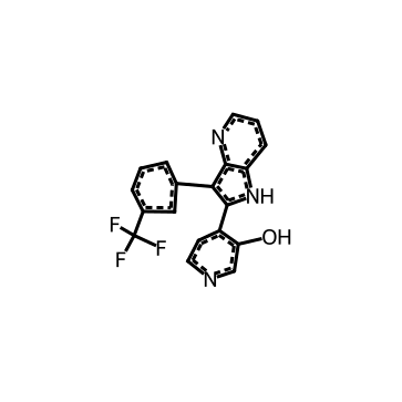 Oc1cnccc1-c1[nH]c2cccnc2c1-c1cccc(C(F)(F)F)c1